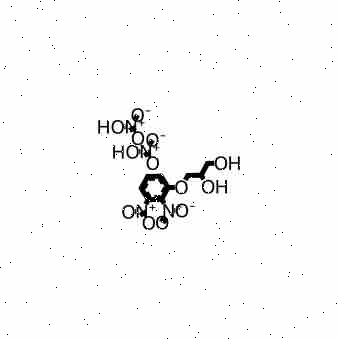 O=[N+]([O-])O.O=[N+]([O-])O.O=[N+]([O-])c1cccc(OCC(O)CO)c1[N+](=O)[O-]